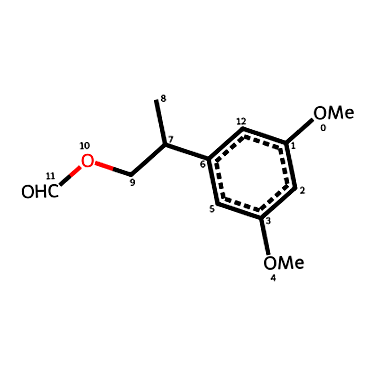 COc1cc(OC)cc(C(C)COC=O)c1